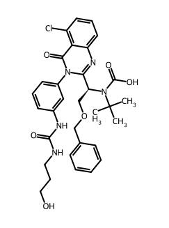 CC(C)(C)N(C(=O)O)[C@@H](COCc1ccccc1)c1nc2cccc(Cl)c2c(=O)n1-c1cccc(NC(=O)NCCCO)c1